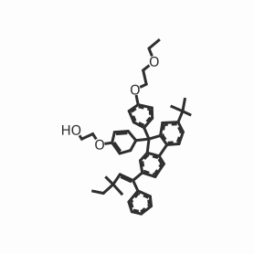 CCOCCOc1ccc(C2(C3C=CC(OCCO)=CC3)c3cc(C(=CC(C)(C)CC)c4ccccc4)ccc3-c3ccc(C(C)(C)C)cc32)cc1